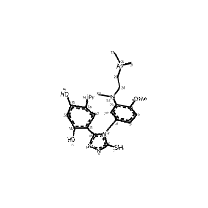 COc1ccc(-n2c(S)nnc2-c2cc(C(C)C)c(O)cc2O)cc1N(C)CC[As](C)C